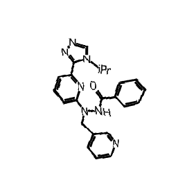 CC(C)n1cnnc1-c1cccc(N(Cc2cccnc2)NC(=O)c2ccccc2)n1